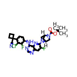 CC(C)(C)OC(=O)N1C[C@@H]2C[C@H]1CN2c1nc2c(Nc3ccc(C4(C#N)CCC4)c(Cl)c3F)ncnc2cc1F